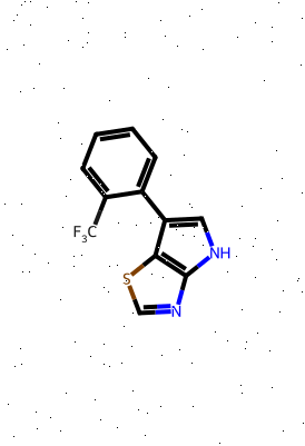 FC(F)(F)c1ccccc1-c1c[nH]c2ncsc12